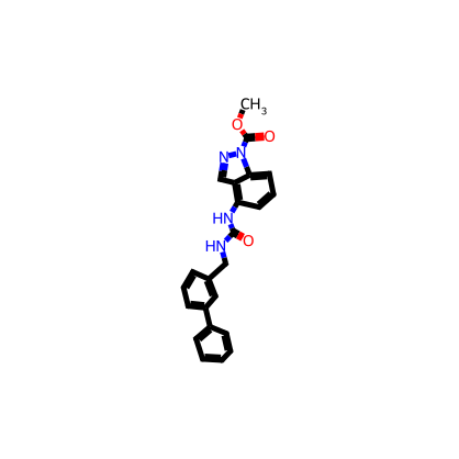 COC(=O)n1ncc2c(NC(=O)NCc3cccc(-c4ccccc4)c3)cccc21